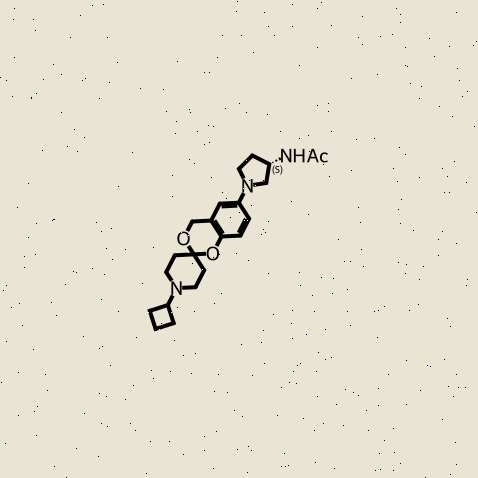 CC(=O)N[C@H]1CCN(c2ccc3c(c2)COC2(CCN(C4CCC4)CC2)O3)C1